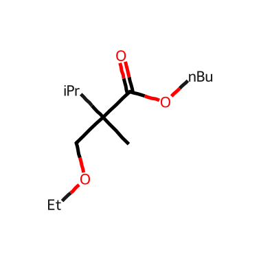 CCCCOC(=O)C(C)(COCC)C(C)C